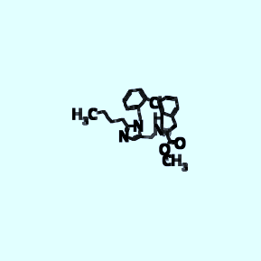 CCCCc1ncc(CN[C@@H](Cc2ccccc2)C(=O)OC)n1Cc1ccccc1Cl